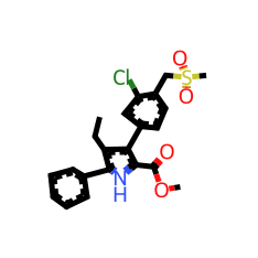 CCc1c(-c2ccccc2)[nH]c(C(=O)OC)c1-c1ccc(CS(C)(=O)=O)c(Cl)c1